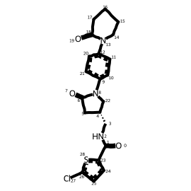 O=C(NC[C@@H]1CC(=O)N(c2ccc(N3CCCCC3=O)cc2)C1)c1ccc(Cl)s1